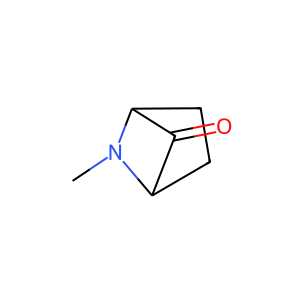 CN1C2CCC1C2=O